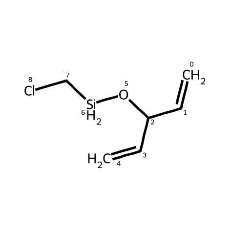 C=CC(C=C)O[SiH2]CCl